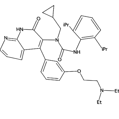 CCN(CC)CCOc1cccc(-c2c(N(CC3CC3)C(=O)Nc3c(C(C)C)cccc3C(C)C)c(=O)[nH]c3ncccc23)c1